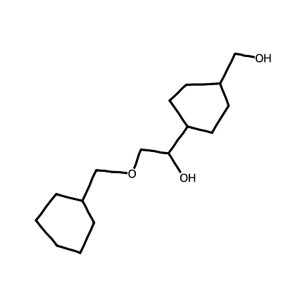 OCC1CCC(C(O)COCC2CCCCC2)CC1